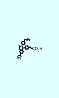 CC(C)Cc1ccc(N2C(C)Cc3cc(-c4cnn(C)c4)ccc3C2c2ccc(/C=C/C(=O)O)cc2)cc1